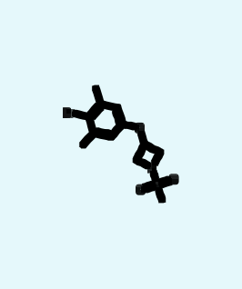 Cc1cc(OC2CN(S(C)(=O)=O)C2)cc(C)c1Br